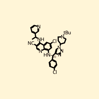 CC(Nc1c(C#N)cnc2c(N[C@@H](c3ccc(Cl)cc3)c3cn(C4CCN(C(C)(C)C)CC4)nn3)cc(Cl)cc12)c1cccnc1